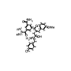 CCCN(CCC)C(=O)c1cc(C(N)=O)cc(C(=O)N(Cc2cccc(OC)c2)C[C@@H](O)[C@@H](N)Cc2ccc(Cl)cc2)c1